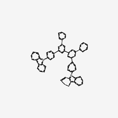 C1=Cc2c(c3ccccc3n2-c2ccc(-c3cc(-c4ccccc4)cc(-c4cc(-c5ccccc5)cc(-c5ccc(-n6c7ccccc7c7ccccc76)cc5)c4)c3)cc2)CC1